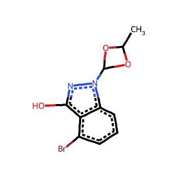 CC1OC(n2nc(O)c3c(Br)cccc32)O1